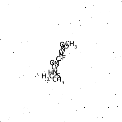 COC(=O)N1CCN(c2ccc(N3CC(CNC(=S)C(C)C)OC3=O)cc2F)CC1